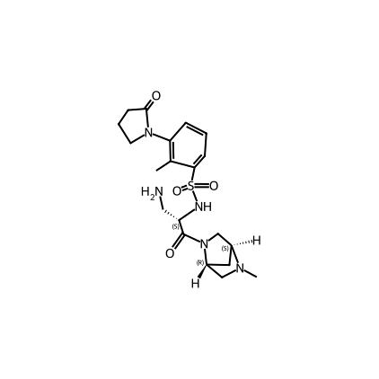 Cc1c(N2CCCC2=O)cccc1S(=O)(=O)N[C@@H](CN)C(=O)N1C[C@@H]2C[C@@H]1CN2C